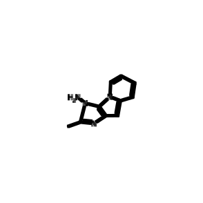 Cc1nc2cc3ccccn3c2n1N